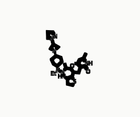 CCN([C@H]1CC[C@H](N2CC(n3cccn3)C2)CC1)N1NC2=C(SCC2)C(Cc2c(C)cc(C)[nH]c2=O)C(=O)C1C